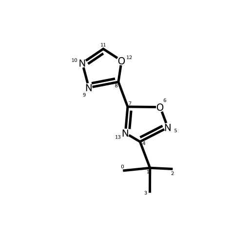 CC(C)(C)c1noc(-c2nnco2)n1